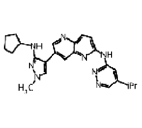 CC(C)c1cnnc(Nc2ccc3ncc(-c4cn(C)nc4NC4CCCC4)cc3n2)c1